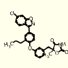 CCCc1cc(-c2noc3cc(Cl)ccc23)ccc1Oc1cccc(C[C@@]2(C)OC(=O)NC2=O)c1